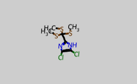 CSC(SC)(SC)c1nc(Cl)c(Cl)[nH]1